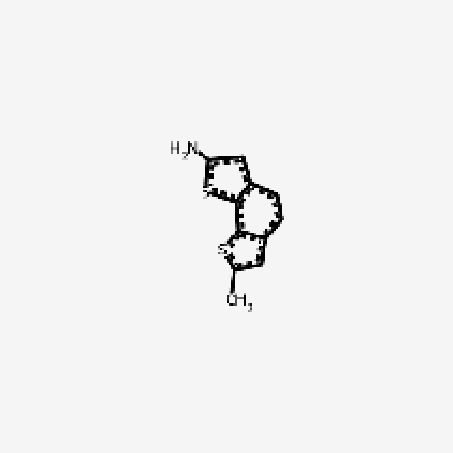 Cc1cc2ccc3cc(N)sc3c2s1